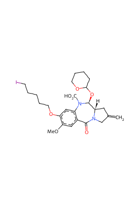 C=C1C[C@H]2[C@H](OC3CCCCO3)N(C(=O)O)c3cc(OCCCCCI)c(OC)cc3C(=O)N2C1